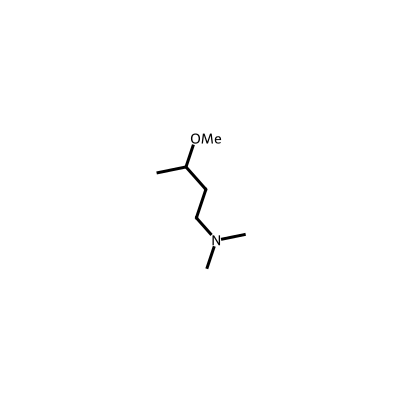 COC(C)CCN(C)C